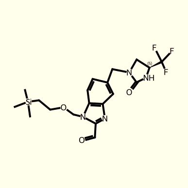 C[Si](C)(C)CCOCn1c(C=O)nc2cc(CN3C[C@@H](C(F)(F)F)NC3=O)ccc21